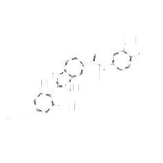 Cc1ccc(NC(=O)c2ccc3nc(-c4c(C)cc(C(=O)O)cc4C)[nH]c3c2)cc1C